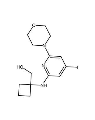 OCC1(Nc2cc(I)cc(N3CCOCC3)n2)CCC1